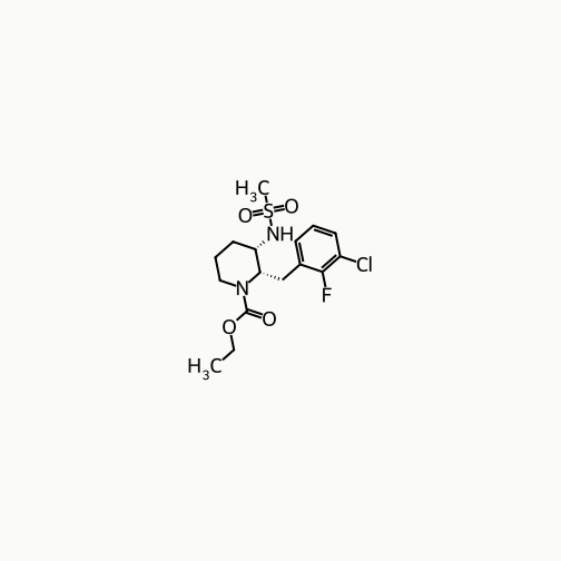 CCOC(=O)N1CCC[C@H](NS(C)(=O)=O)[C@@H]1Cc1cccc(Cl)c1F